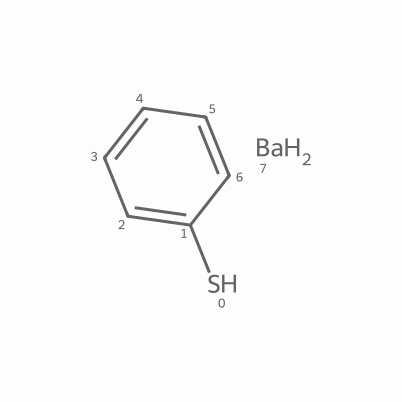 Sc1ccccc1.[BaH2]